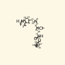 CN(CCCCCCNC(=O)OC12CCC(CC1)CC2)CCc1ccc(N)c(C(F)(F)F)c1.Cl